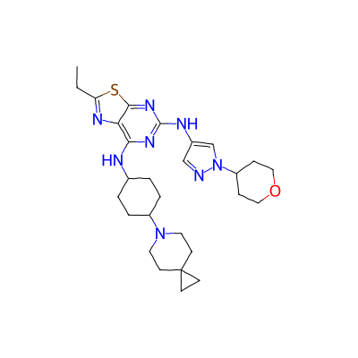 CCc1nc2c(NC3CCC(N4CCC5(CC4)CC5)CC3)nc(Nc3cnn(C4CCOCC4)c3)nc2s1